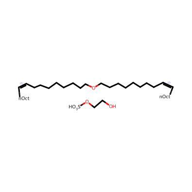 CCCCCCCC/C=C\CCCCCCCCOCCCCCCCC/C=C\CCCCCCCC.O=S(=O)(O)OCCO